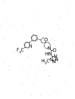 Cn1nnnc1NC(=O)N1CCC2(CC1)CC(c1cccc(-c3ccc(C(F)(F)F)cn3)c1)CO2